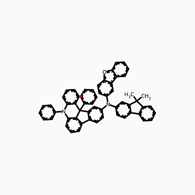 CC1(C)c2ccccc2-c2ccc(N(c3ccc4c(c3)C3(c5ccccc5)c5ccccc5N(c5ccccc5)c5cccc-4c53)c3ccc4oc5ccccc5c4c3)cc21